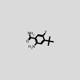 CC(C)(C)c1cc(N)c(C(N)=O)cc1F